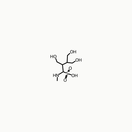 CNC(C(CO)C(CO)CO)S(=O)(=O)O